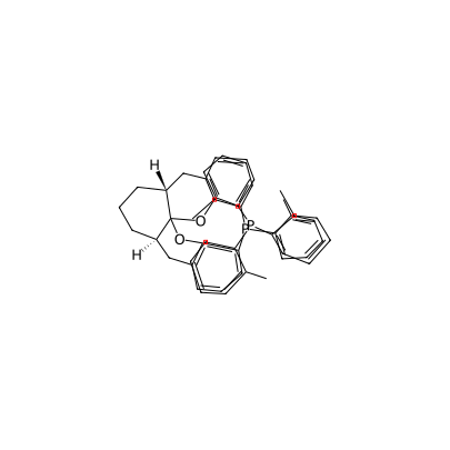 Cc1ccccc1P(c1ccccc1C)c1cccc2c1OC13Oc4c(cccc4P(c4ccccc4C)c4ccccc4C)C[C@H]1CCC[C@@H]3C2